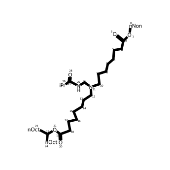 CCCCCCCCCOC(=O)CCCCCCCN(CCCCCCCC(=O)OC(CCCCCCCC)CCCCCCCC)CNC(=O)C(C)C